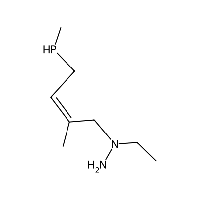 CCN(N)C/C(C)=C\CPC